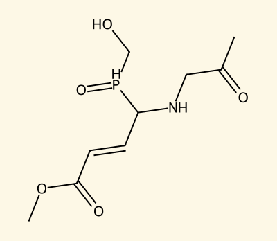 COC(=O)C=CC(NCC(C)=O)[PH](=O)CO